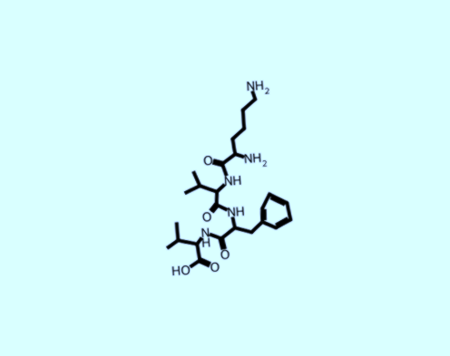 CC(C)C(NC(=O)C(Cc1ccccc1)NC(=O)C(NC(=O)C(N)CCCCN)C(C)C)C(=O)O